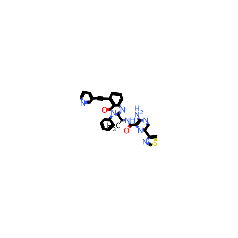 C[C@@H](NC(=O)c1nc(-c2cscn2)cnc1N)c1nc2cccc(C#Cc3cccnc3)c2c(=O)n1-c1ccccc1